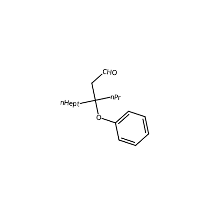 CCCCCCCC(CC=O)(CCC)Oc1ccccc1